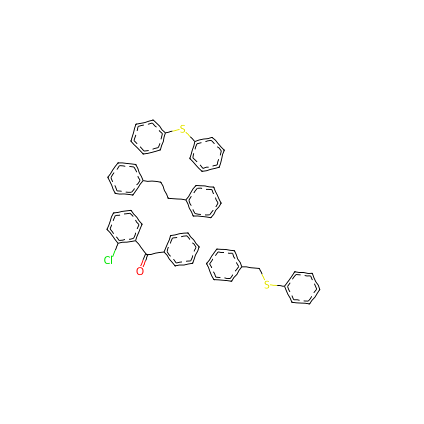 O=C(c1ccccc1)c1ccccc1Cl.c1ccc(CCc2ccccc2)cc1.c1ccc(CSc2ccccc2)cc1.c1ccc(Sc2ccccc2)cc1